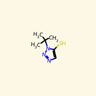 CC(C)(C)n1nncc1S